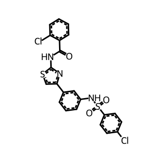 O=C(Nc1nc(-c2cccc(NS(=O)(=O)c3ccc(Cl)cc3)c2)cs1)c1ccccc1Cl